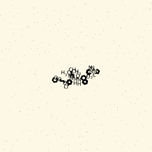 C[C@H]1CCCN1c1nnc2ccc(O[C@@H]3CC[C@H](NC(=O)Nc4cc(C(C)(C)C)nn4-c4ccc(Cl)c(OCCOC5CCCCO5)c4)c4ccccc43)cn12